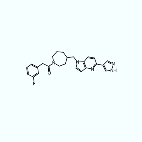 O=C(Cc1cccc(F)c1)N1CCCC(Cn2ccc3nc(-c4cn[nH]c4)ccc32)CC1